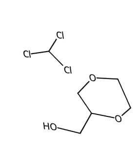 ClC(Cl)Cl.OCC1COCCO1